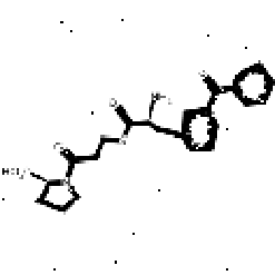 N[C@@H](Cc1cccc(C(=O)c2ccccc2)c1)C(=O)SCCC(=O)N1CCC[C@H]1C(=O)O